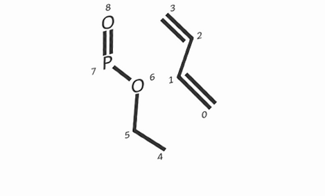 C=CC=C.CCOP=O